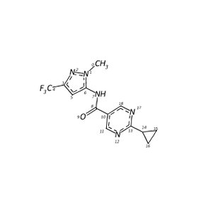 Cn1nc(C(F)(F)F)cc1NC(=O)c1cnc(C2CC2)nc1